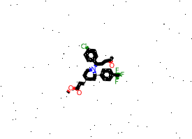 COC(=O)CC[C@@H]1CCN(C(CCC(C)=O)c2ccc(Cl)cc2)[C@H](c2ccc(C(F)(F)F)cc2)C1